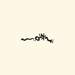 CCCCCCOc1ccc(-c2nnn(CCC#N)n2)cc1